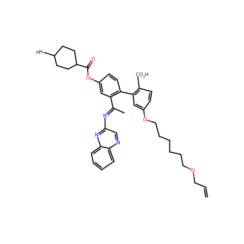 C=CCOCCCCCCOc1ccc(C(=O)O)c(-c2ccc(OC(=O)C3CCC(CCC)CC3)cc2/C(C)=N/c2cnc3ccccc3n2)c1